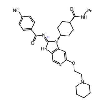 CC(C)NC(=O)[C@H]1CC[C@@H](n2/c(=N/C(=O)c3ccc(C#N)cc3)[nH]c3cnc(OCCN4CCCCC4)cc32)CC1